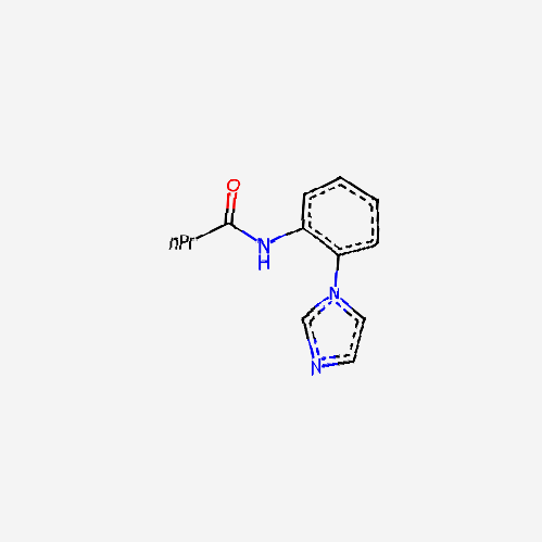 CCCC(=O)Nc1ccccc1-n1ccnc1